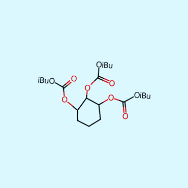 CC(C)COC(=O)OC1CCCC(OC(=O)OCC(C)C)C1OC(=O)OCC(C)C